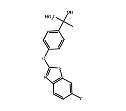 CC(O)(C(=O)O)c1ccc(Oc2nc3ccc(Cl)cc3s2)cc1